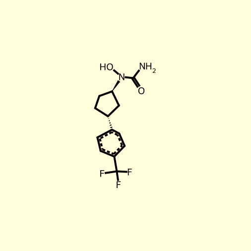 NC(=O)N(O)[C@@H]1CC[C@@H](c2ccc(C(F)(F)F)cc2)C1